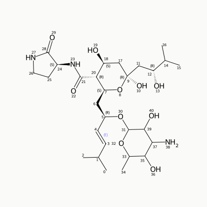 CC(C)/C=C/[C@@H](C[C@@H]1O[C@](O)(C[C@@H](O)C(C)C)C[C@H](O)[C@H]1C(=O)N[C@H]1CCNC1=O)OC1OC(C)C(O)C(N)C1O